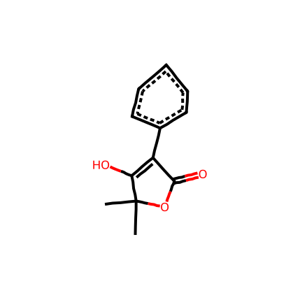 CC1(C)OC(=O)C(c2ccccc2)=C1O